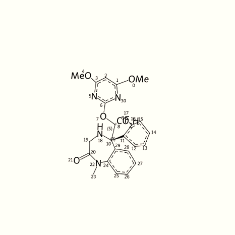 COc1cc(OC)nc(O[C@H](C(=O)O)[C@@]2(c3ccccc3F)NCC(=O)N(C)c3ccccc32)n1